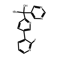 CC(C)(C)C(O)(c1cncnc1)c1ccc(-c2cccnc2F)cn1